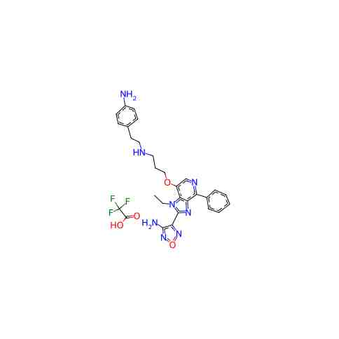 CCn1c(-c2nonc2N)nc2c(-c3ccccc3)ncc(OCCCNCCc3ccc(N)cc3)c21.O=C(O)C(F)(F)F